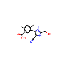 Cc1cc(C)c(-c2[nH]c(CO)nc2C#N)cc1C(=O)O